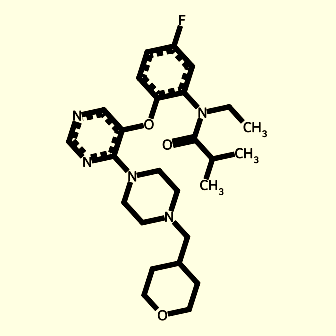 CCN(C(=O)C(C)C)c1cc(F)ccc1Oc1cncnc1N1CCN(CC2CCOCC2)CC1